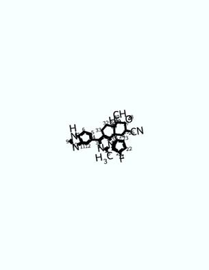 Cc1nc(-c2ccc3[nH]cnc3c2)c2c(n1)[C@@]1(c3ccc(F)cc3)CC(C#N)C(=O)[C@@H](C)[C@@H]1CC2